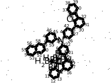 BC(B)(B)C1(C(B)(B)B)c2ccccc2-c2cccc(-c3ccc(N(c4ccc(-c5cccc6c5oc5ccccc56)cc4)c4cccc(-c5ccc6ccccc6c5)c4)cc3)c21